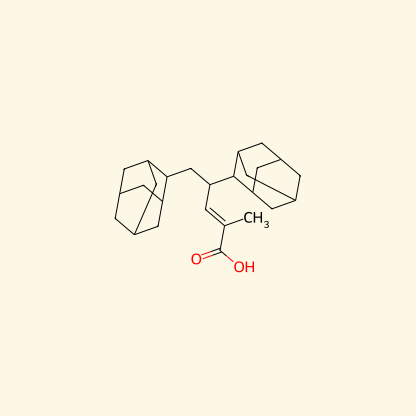 CC(=CC(CC1C2CC3CC(C2)CC1C3)C1C2CC3CC(C2)CC1C3)C(=O)O